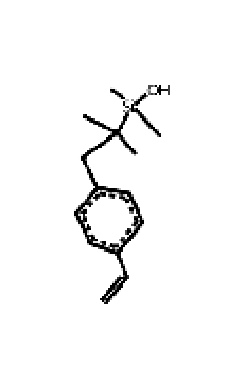 C=Cc1ccc(CC(C)(C)[Si](C)(C)O)cc1